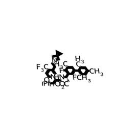 Cc1cc(C)c(-c2cc(C)c(F)c([C@H](CC(=O)O)NC(=O)C(CC(C)C)n3cc(CCN4CC5(CC5)C4)c(C(F)(F)F)cc3=O)c2F)c(C)c1